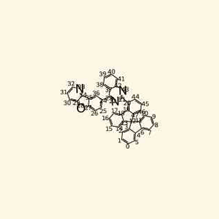 c1ccc2c(c1)-c1ccccc1C21c2ccccc2-c2c(-c3nc(-c4ccc5oc6cccnc6c5c4)c4ccccc4n3)cccc21